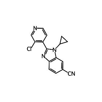 N#Cc1ccc2nc(-c3ccncc3Cl)n(C3CC3)c2c1